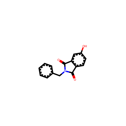 O=C1c2ccc(O)cc2C(=O)N1Cc1ccccc1